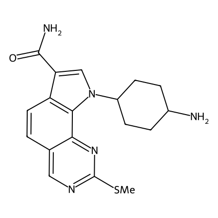 CSc1ncc2ccc3c(C(N)=O)cn(C4CCC(N)CC4)c3c2n1